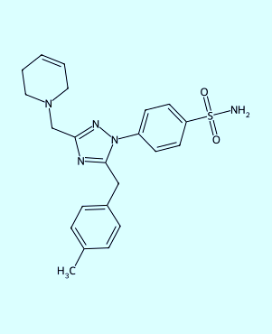 Cc1ccc(Cc2nc(CN3CC=CCC3)nn2-c2ccc(S(N)(=O)=O)cc2)cc1